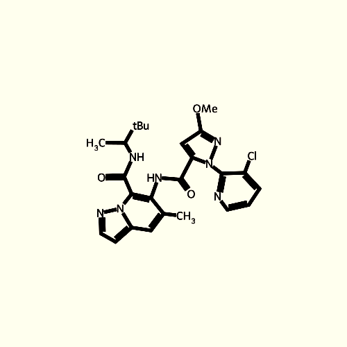 COc1cc(C(=O)Nc2c(C)cc3ccnn3c2C(=O)NC(C)C(C)(C)C)n(-c2ncccc2Cl)n1